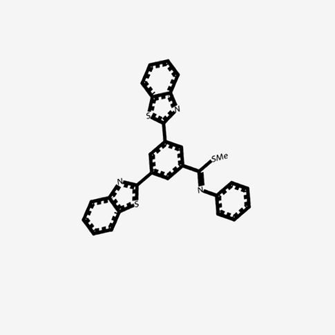 CS/C(=N\c1ccccc1)c1cc(-c2nc3ccccc3s2)cc(-c2nc3ccccc3s2)c1